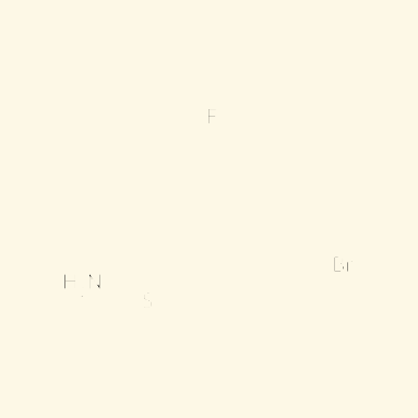 NSc1cc(F)cc(Br)c1